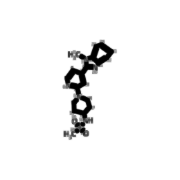 Cn1c(-c2ccnc(N3CCC(NS(C)(=O)=O)CC3)c2)nc2ccccc21